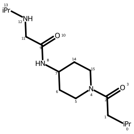 CC(C)CC(=O)N1CCC(NC(=O)CNC(C)C)CC1